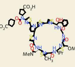 CNC(=O)C[C@@H]1NC(=O)c2csc(n2)-c2ccc(-c3nc(N(C(=O)O[C@H]4CC[C@H](C(=O)O)CC4)C4CCC(C(=O)O)C4)cs3)nc2-c2csc(n2)-c2csc(n2)[C@H]([C@@H](O)c2ccccc2)NC(=O)CNC(=O)c2nc(sc2COC)C(C(C)C)NC(=O)c2nc1sc2C